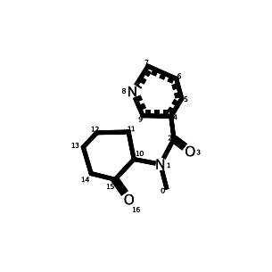 CN(C(=O)c1cccnc1)C1CCCCC1=O